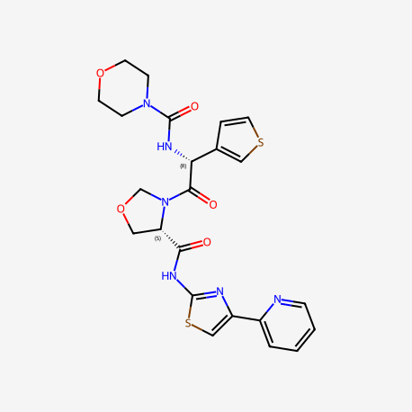 O=C(Nc1nc(-c2ccccn2)cs1)[C@@H]1COCN1C(=O)[C@H](NC(=O)N1CCOCC1)c1ccsc1